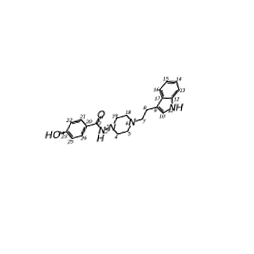 O=C(NN1CCN(CCc2c[nH]c3ccccc23)CC1)c1ccc(O)cc1